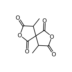 CC1C(=O)OC(=O)C12C(=O)OC(=O)C2C